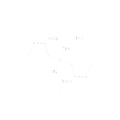 CC(=O)[NH][Zr]([NH]C(C)=O)([C]1=CC=CC1)[C]1=CC=CC1.Cl